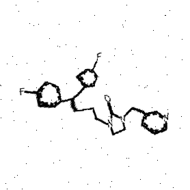 O=C1N(CCCC(c2ccc(F)cc2)c2ccc(F)cc2)CCN1Cc1cccnc1